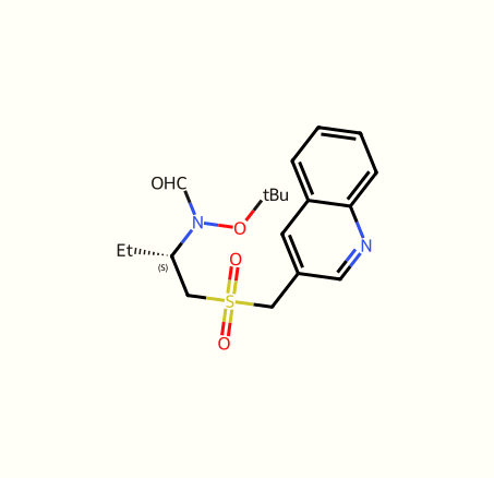 CC[C@@H](CS(=O)(=O)Cc1cnc2ccccc2c1)N(C=O)OC(C)(C)C